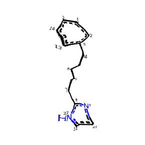 c1ccc(CCCCc2ncc[nH]2)cc1